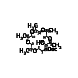 CCCCCCCCCCCCOC(C)COC(C)COC(C)COC(C)COC(C)CO